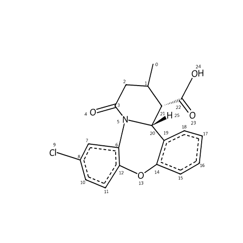 CC1CC(=O)N2c3cc(Cl)ccc3Oc3ccccc3[C@H]2[C@H]1C(=O)O